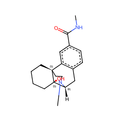 CNC(=O)c1ccc2c(c1)[C@@]13CCCC[C@@]1(O)[C@@H](C2)N(C)CC3